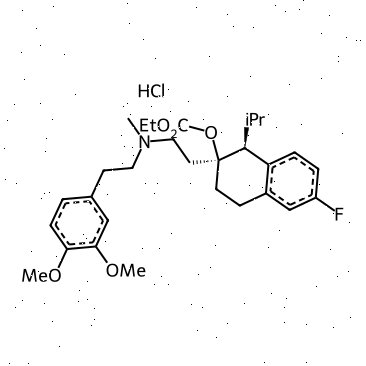 CCOC(=O)O[C@]1(CCN(C)CCc2ccc(OC)c(OC)c2)CCc2cc(F)ccc2[C@@H]1C(C)C.Cl